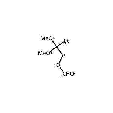 CCC(CO[C]=O)(OC)OC